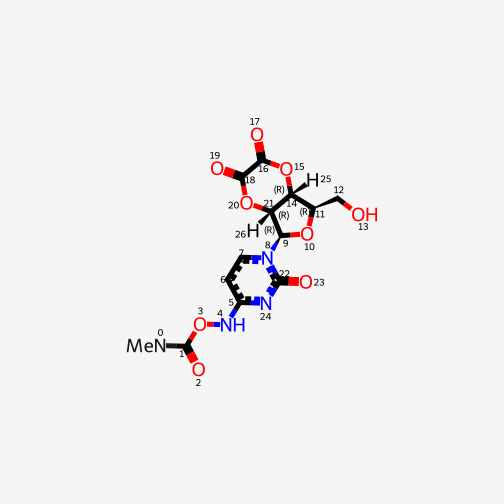 CNC(=O)ONc1ccn([C@@H]2O[C@H](CO)[C@H]3OC(=O)C(=O)O[C@H]32)c(=O)n1